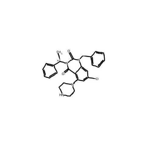 C[C@H](c1ccccc1)n1c(=O)c2c(N3CCNCC3)cc(Cl)cc2n(Cc2ccccc2)c1=O